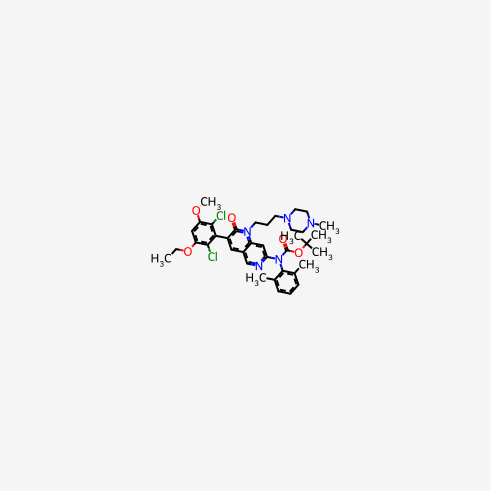 CCOc1cc(OC)c(Cl)c(-c2cc3cnc(N(C(=O)OC(C)(C)C)c4c(C)cccc4C)cc3n(CCCN3CCN(C)CC3)c2=O)c1Cl